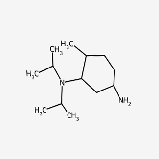 CC1CCC(N)CC1N(C(C)C)C(C)C